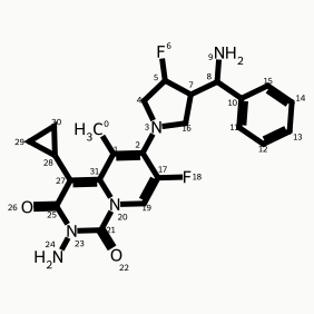 Cc1c(N2CC(F)C(C(N)c3ccccc3)C2)c(F)cn2c(=O)n(N)c(=O)c(C3CC3)c12